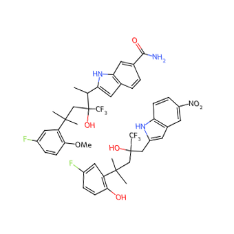 CC(C)(CC(O)(Cc1cc2cc([N+](=O)[O-])ccc2[nH]1)C(F)(F)F)c1cc(F)ccc1O.COc1ccc(F)cc1C(C)(C)CC(O)(C(C)c1cc2ccc(C(N)=O)cc2[nH]1)C(F)(F)F